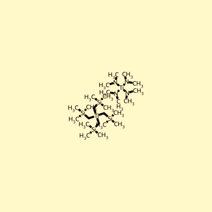 C[N](C)[Ti]([N](C)C)([N](C)C)[N](C)C.C[Si](C)(C)[CH2][Ti]([CH2][Si](C)(C)C)([CH2][Si](C)(C)C)[CH2][Si](C)(C)C